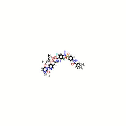 CCC(CC)C(=O)Nc1ccc(S(=O)(=O)Nc2cc(F)c(C(=O)N[C@@H](Cc3ccc(-n4c(=O)ccn(C)c4=O)nc3)C(=O)OC(C)C)cc2F)cc1